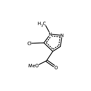 COC(=O)c1cnn(C)c1Cl